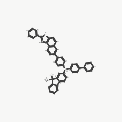 CC1(C)c2ccccc2-c2ccc(N(c3ccc(-c4ccccc4)cc3)c3ccc(-c4ccc5c(ccc6oc(-c7ccccc7)nc65)c4)cc3)cc21